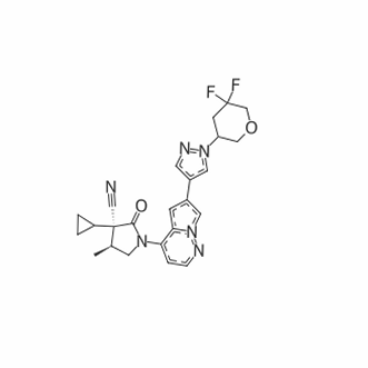 C[C@@H]1CN(c2ccnn3cc(-c4cnn(C5COCC(F)(F)C5)c4)cc23)C(=O)[C@]1(C#N)C1CC1